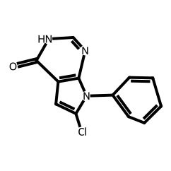 O=c1[nH]cnc2c1cc(Cl)n2-c1ccccc1